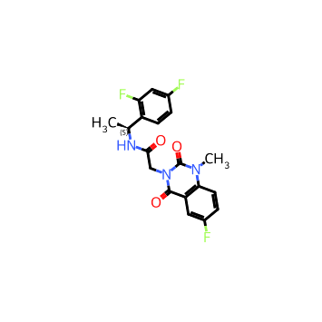 C[C@H](NC(=O)Cn1c(=O)c2cc(F)ccc2n(C)c1=O)c1ccc(F)cc1F